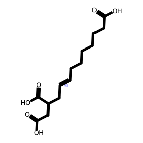 O=C(O)CCCCCC/C=C/CC(CC(=O)O)C(=O)O